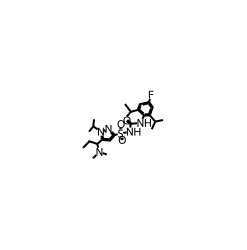 CCC(c1cc(S(=O)(=O)NC(=O)Nc2c(C(C)C)cc(F)cc2C(C)C)nn1C(C)C)N(C)C